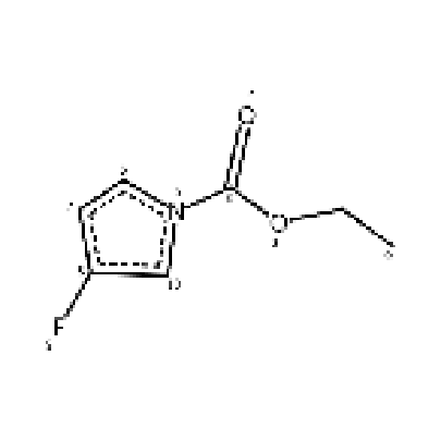 CCOC(=O)n1ccc(F)c1